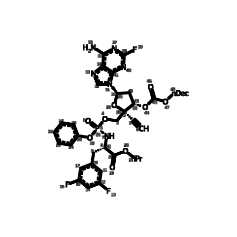 C#C[C@]1(CO[P@@](=O)(N[C@@H](Cc2cc(F)cc(F)c2)C(=O)OC(C)C)Oc2ccccc2)O[C@@H](n2cnc3c(N)nc(F)nc32)C[C@@H]1OC(=O)OCCCCCCCCCC